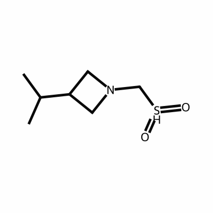 CC(C)C1CN(C[SH](=O)=O)C1